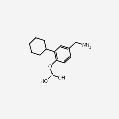 NCc1ccc(OP(O)O)c(C2CCCCC2)c1